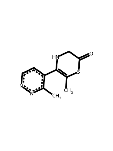 CC1=C(c2ccnnc2C)NCC(=O)S1